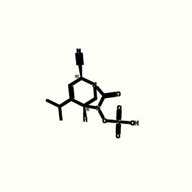 CC(C)C1=C[C@@H](C#N)N2C[C@@H]1N(OS(=O)(=O)O)C2=O